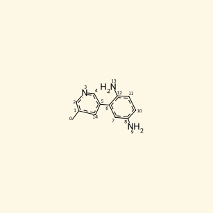 Cc1cncc(-c2cc(N)ccc2N)c1